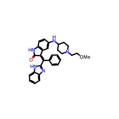 COCCN1CCC(Nc2ccc3c(c2)C(=C(c2ccccc2)c2nc4ccccc4[nH]2)C(=O)N3)CC1